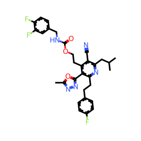 Cc1nnc(-c2c(CCc3ccc(F)cc3)nc(CC(C)C)c(C#N)c2CCOC(=O)NCc2ccc(F)c(F)c2)o1